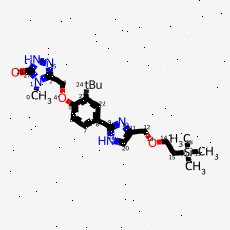 Cn1c(COc2ccc(-c3nc(COCC[Si](C)(C)C)c[nH]3)cc2C(C)(C)C)n[nH]c1=O